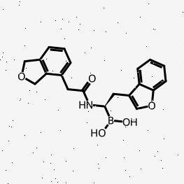 O=C(Cc1cccc2c1COC2)N[C@@H](Cc1coc2ccccc12)B(O)O